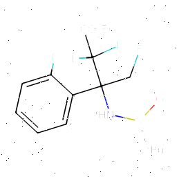 CCOC(=O)C(F)(F)C(CF)(N[S@+]([O-])C(C)(C)C)c1ccccc1F